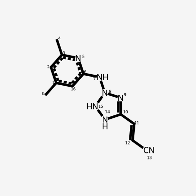 Cc1cc(C)nc(NN2N=C(C=CC#N)NN2)c1